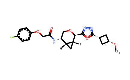 O=C(COc1ccc(F)cc1)N[C@@H]1CO[C@@H](c2nnc([C@H]3C[C@@H](OC(F)(F)F)C3)o2)[C@@H]2C[C@@H]21